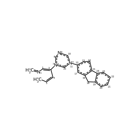 C=N/C=C(\C=C/C)[n+]1cnc[n+](-c2ccc3c(c2)Cc2ccccc2-3)c1